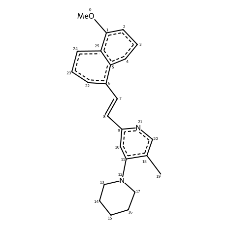 COc1cccc2c(C=Cc3cc(N4CCCCC4)c(C)cn3)cccc12